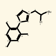 CCCCC(CC)C[n+]1ccn(-c2c(C)cc(C)cc2C)c1